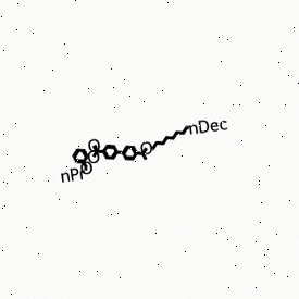 CCCCCCCCCCCCCCCCCCOC(C)c1ccc(-c2ccc(C(=O)Oc3ccccc3OCCC)cc2)cc1